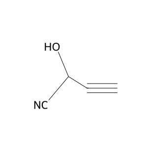 C#CC(O)C#N